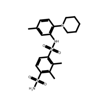 Cc1ccc(N2CCCCC2)c(NS(=O)(=O)c2ccc(S(N)(=O)=O)c(C)c2C)c1